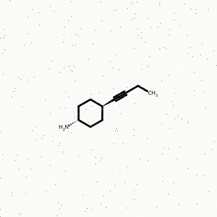 CCC#C[C@H]1CC[C@H](N)CC1